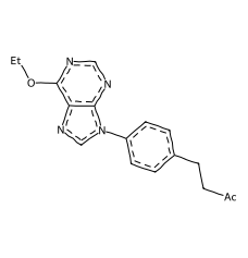 CCOc1ncnc2c1ncn2-c1ccc(CCC(C)=O)cc1